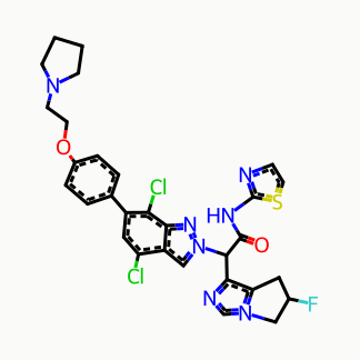 O=C(Nc1nccs1)C(c1ncn2c1CC(F)C2)n1cc2c(Cl)cc(-c3ccc(OCCN4CCCC4)cc3)c(Cl)c2n1